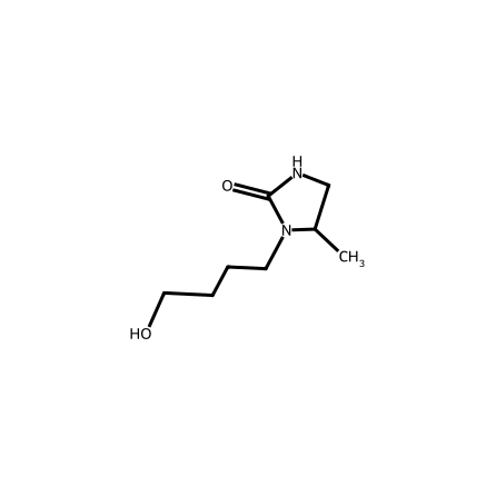 CC1CNC(=O)N1CCCCO